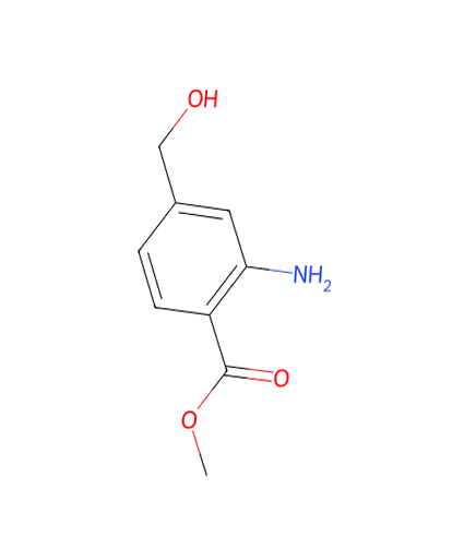 COC(=O)c1ccc(CO)cc1N